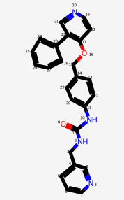 O=C(NCc1cccnc1)Nc1ccc(COc2ccncc2-c2ccccc2)cc1